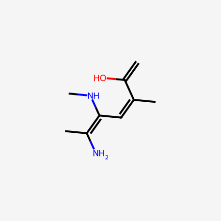 C=C(O)/C(C)=C\C(NC)=C(\C)N